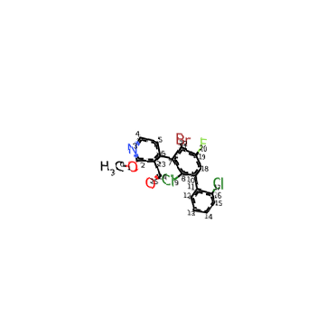 COc1nccc(-c2c(Cl)c(-c3ccccc3Cl)cc(F)c2Br)c1C=O